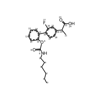 CCCCCCNC(=O)Oc1ccccc1-c1ccc(C(C)C(=O)O)cc1F